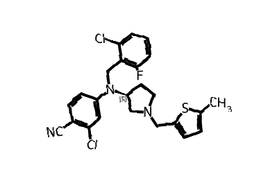 Cc1ccc(CN2CC[C@H](N(Cc3c(F)cccc3Cl)c3ccc(C#N)c(Cl)c3)C2)s1